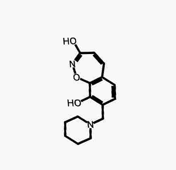 OC1=NOc2c(ccc(CN3CCCCC3)c2O)C=C1